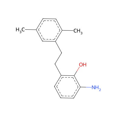 Cc1ccc(C)c(CCc2cccc(N)c2O)c1